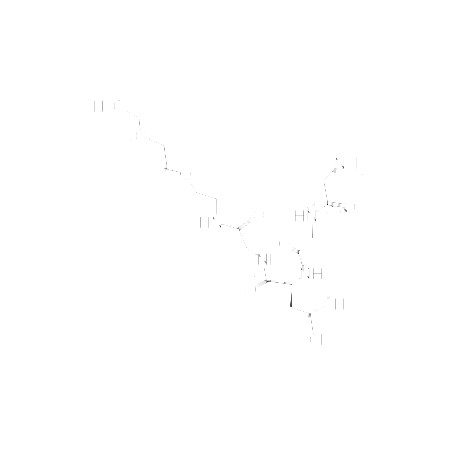 CCOCCOCCNC(=O)CNC(=O)[C@H](CC(C)C)NC(=O)CNC(=O)CN